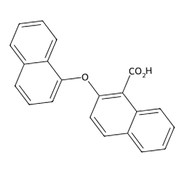 O=C(O)c1c(Oc2cccc3ccccc23)ccc2ccccc12